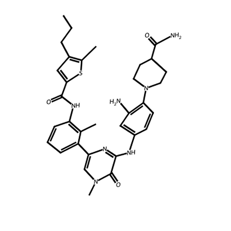 CCCc1cc(C(=O)Nc2cccc(-c3cn(C)c(=O)c(Nc4ccc(N5CCC(C(N)=O)CC5)c(N)c4)n3)c2C)sc1C